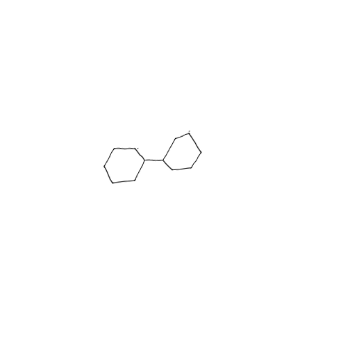 [CH]1CCCC(C2[CH]CCCC2)C1